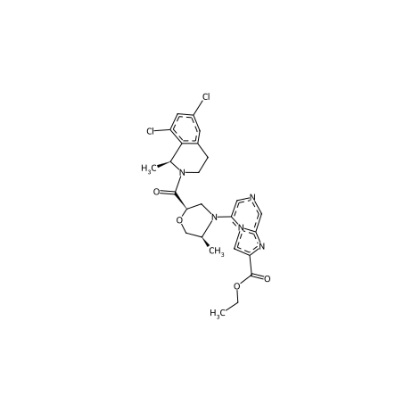 CCOC(=O)c1cn2c(N3C[C@H](C(=O)N4CCc5cc(Cl)cc(Cl)c5[C@@H]4C)OC[C@@H]3C)cncc2n1